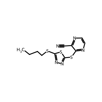 CCCCSc1nnc(Sc2nccnc2C#N)s1